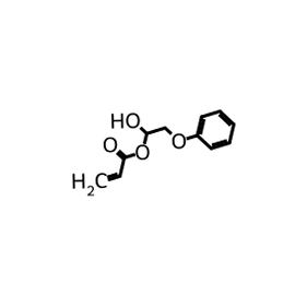 C=CC(=O)OC(O)COc1ccccc1